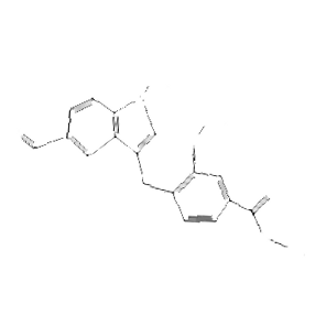 COC(=O)c1ccc(Cc2cn(C)c3ccc(C=O)cc23)c(OC)c1